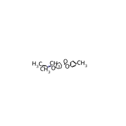 CC(C)=C/C=C(\C)O[C@H]1CC[C@H](C(=O)Oc2ccc(C)cc2)CC1